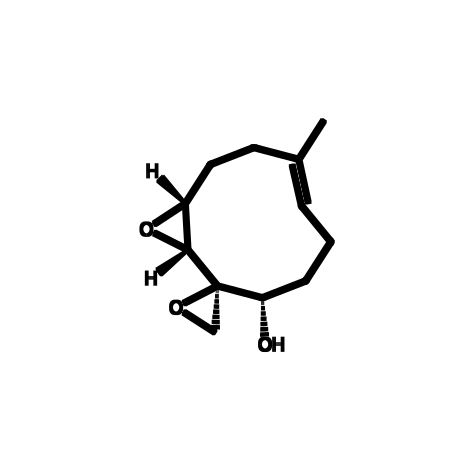 C/C1=C\CC[C@H](O)[C@]2(CO2)[C@@H]2O[C@@H]2CC1